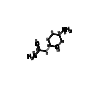 NC(=O)C[C@@H]1CCC(N)CO1